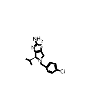 CC(C)[C@H]1c2nc(N)sc2CN1Cc1ccc(Cl)cc1